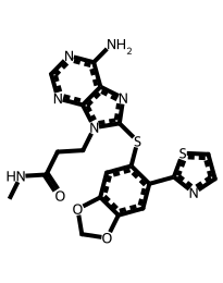 CNC(=O)CCn1c(Sc2cc3c(cc2-c2nccs2)OCO3)nc2c(N)ncnc21